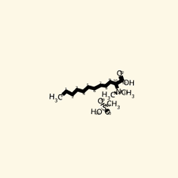 CCCCCCCCCCC(C(=O)O)N(C)C.CS(=O)(=O)O